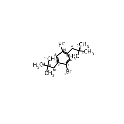 CC(C)(C)Cc1cc(Br)c(CC(C)(C)C)cc1F